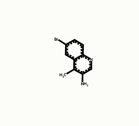 Cc1c(N)cnc2ccc(Br)cc12